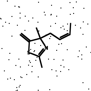 C=C1SC(C)=NC1(C)C/C=C\C